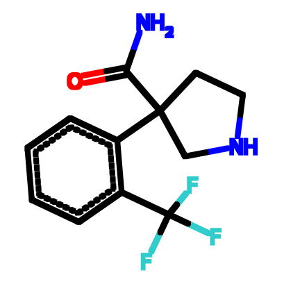 NC(=O)C1(c2ccccc2C(F)(F)F)CCNC1